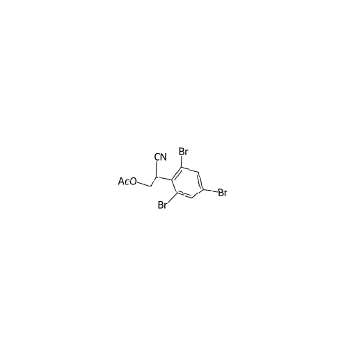 CC(=O)OCC(C#N)c1c(Br)cc(Br)cc1Br